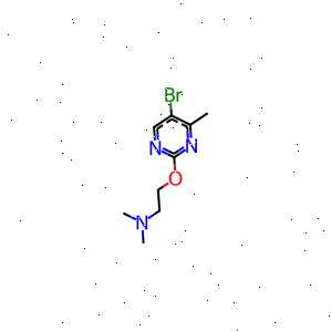 Cc1nc(OCCN(C)C)ncc1Br